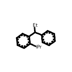 CCC(c1ccccc1)c1ccccc1C(C)C